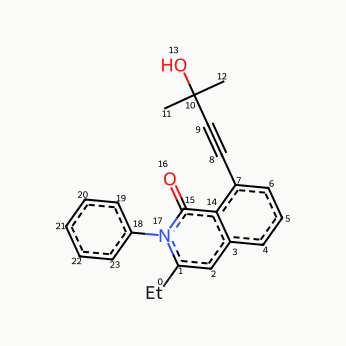 CCc1cc2cccc(C#CC(C)(C)O)c2c(=O)n1-c1ccccc1